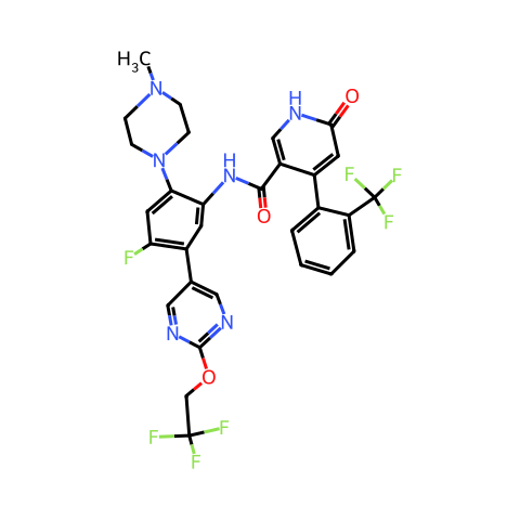 CN1CCN(c2cc(F)c(-c3cnc(OCC(F)(F)F)nc3)cc2NC(=O)c2c[nH]c(=O)cc2-c2ccccc2C(F)(F)F)CC1